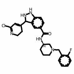 O=C(N[C@@H]1CCCN(Cc2ccccc2F)C1)c1ccc2c(c1)C(C1=CC(Cl)=NCC1)NN2